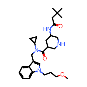 COCCCn1cc(CN(C(=O)C2CNCC(NC(=O)CC(C)(C)C)C2)C2CC2)c2ccccc21